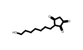 O=C1CC(=O)C(CCCCCCCO)C1=O